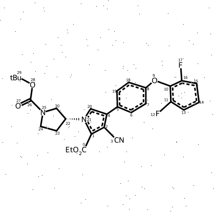 CCOC(=O)c1c(C#N)c(-c2ccc(Oc3c(F)cccc3F)cc2)cn1[C@@H]1CCN(C(=O)OC(C)(C)C)C1